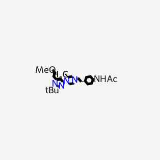 COCCc1cc(N2CCN(CC[C@H]3CC[C@H](NC(C)=O)CC3)C[C@@H]2C)nc(C(C)(C)C)n1